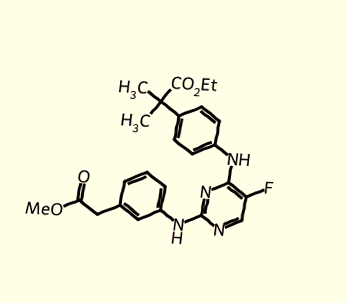 CCOC(=O)C(C)(C)c1ccc(Nc2nc(Nc3cccc(CC(=O)OC)c3)ncc2F)cc1